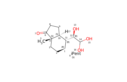 CCC[C@H](C)[C@H]1CC[C@]2(C)C(=O)CC[C@H]2[C@@H]1[C@@H](O)C(O)O